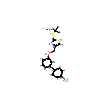 CC(C)(Sc1nc(COc2cccc(-c3ccc(Cl)cc3)c2)cs1)C(=O)O